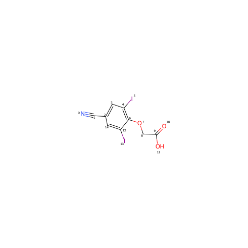 N#Cc1cc(I)c(OCC(=O)O)c(I)c1